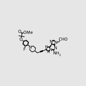 COC(=O)C(C)(C)Oc1ccc(N2CCC(CC#Cc3nc4c5ncn(CC=O)c5nc(N)n4n3)CC2)c(F)c1